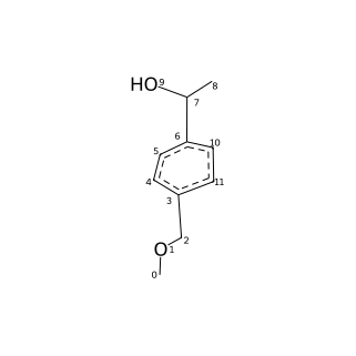 COCc1ccc(C(C)O)cc1